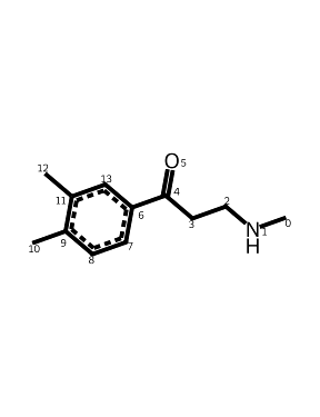 CNCCC(=O)c1ccc(C)c(C)c1